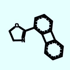 c1ccc2c(c1)-c1cccc(C3=NCCO3)c1-2